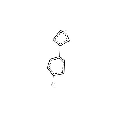 Clc1ccc(-c2[c]coc2)cc1